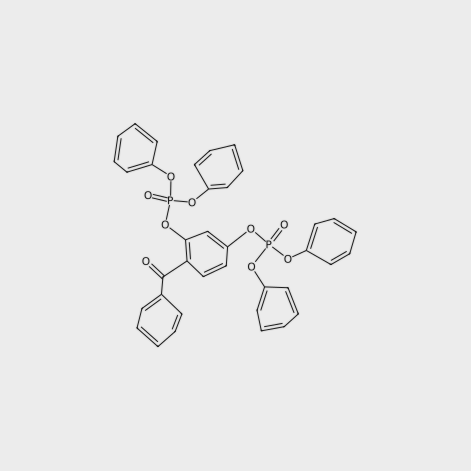 O=C(c1ccccc1)c1ccc(OP(=O)(Oc2ccccc2)Oc2ccccc2)cc1OP(=O)(Oc1ccccc1)Oc1ccccc1